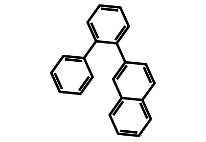 [c]1ccc2cc(-c3ccccc3-c3ccccc3)ccc2c1